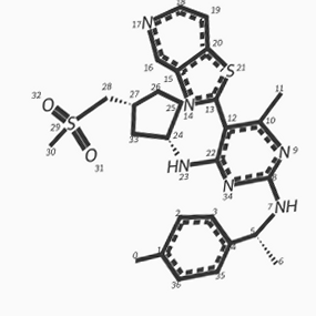 Cc1ccc([C@@H](C)Nc2nc(C)c(-c3nc4cnccc4s3)c(N[C@H]3CC[C@@H](CS(C)(=O)=O)C3)n2)cc1